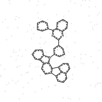 c1ccc(-c2nc(-c3cccc(-n4c5ccccc5c5ccc6c(c54)-c4cccc5cccc-6c45)c3)nc3ccccc23)cc1